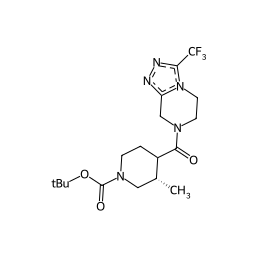 C[C@@H]1CN(C(=O)OC(C)(C)C)CCC1C(=O)N1CCn2c(nnc2C(F)(F)F)C1